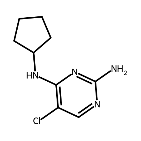 Nc1ncc(Cl)c(NC2CCCC2)n1